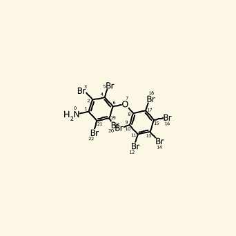 Nc1c(Br)c(Br)c(Oc2c(Br)c(Br)c(Br)c(Br)c2Br)c(Br)c1Br